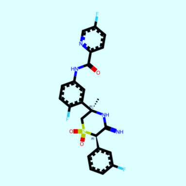 C[C@@]1(c2cc(NC(=O)c3ccc(F)cn3)ccc2F)CS(=O)(=O)[C@H](c2cccc(F)c2)C(=N)N1